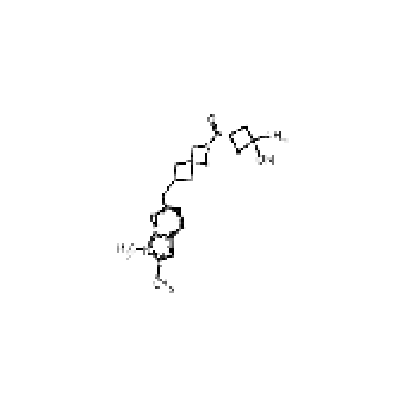 Cc1cc2ccc(CC3CC4(C3)CN(C(=O)[C@H]3C[C@@](C)(O)C3)C4)nc2n1C